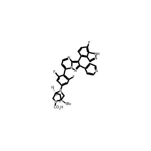 CC(C)(C)[C@]12C[C@@H](CN1C(=O)O)N(c1cc(F)c(-c3ccnc4c(-c5ccc(F)c6[nH]ncc56)c(-c5ccncc5)nn34)c(F)c1)C2